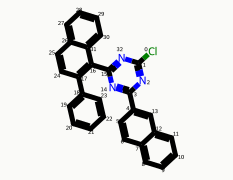 Clc1nc(-c2ccc3ccccc3c2)nc(-c2c(-c3ccccc3)ccc3ccccc23)n1